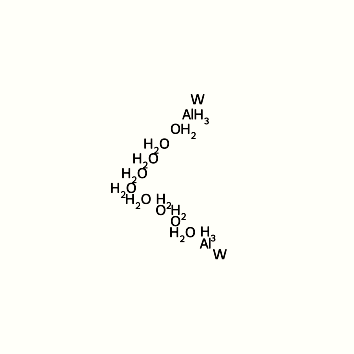 O.O.O.O.O.O.O.O.O.[AlH3].[AlH3].[W].[W]